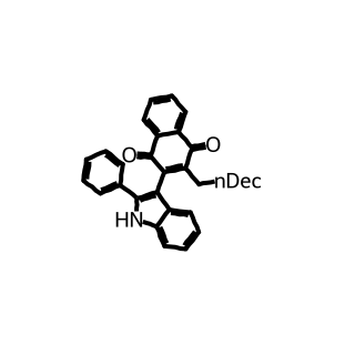 CCCCCCCCCCCC1=C(c2c(-c3ccccc3)[nH]c3ccccc23)C(=O)c2ccccc2C1=O